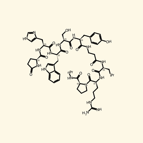 CCCNC(=O)[C@@H]1CCCN1C(=O)[C@H](CCCNC(=N)N)NC(=O)[C@H](CC(C)C)NC(=O)CCNC(=O)[C@H](Cc1ccc(O)cc1)NC(=O)[C@H](CO)NC(=O)[C@H](Cc1c[nH]c2ccccc12)NC(=O)[C@H](Cc1c[nH]cn1)NC(=O)[C@@H]1CCC(=O)N1